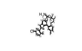 CC(CCc1ccc(F)cc1-c1cccc2cc(-c3nc(Cl)ncc3F)sc12)C(C)(C)OC(N)=O